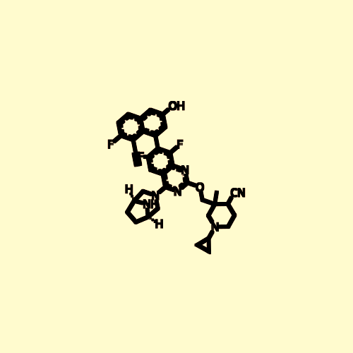 C#Cc1c(F)ccc2cc(O)cc(-c3c(F)cc4c(N5C[C@H]6CC[C@@H](C5)N6)nc(OCC5(C)CN(C6CC6)CCC5C#N)nc4c3F)c12